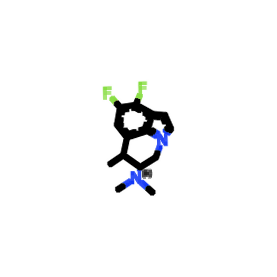 CC1c2cc(F)c(F)c3ccn(c23)C[C@@H]1N(C)C